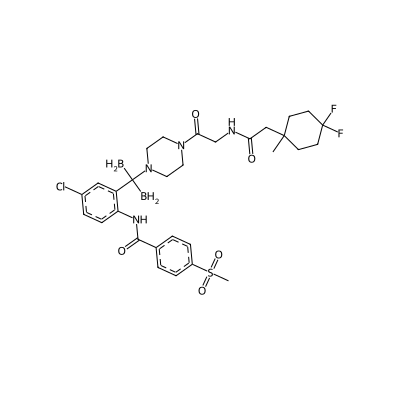 BC(B)(c1cc(Cl)ccc1NC(=O)c1ccc(S(C)(=O)=O)cc1)N1CCN(C(=O)CNC(=O)CC2(C)CCC(F)(F)CC2)CC1